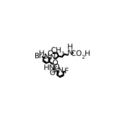 CC1(C)CC(CCCNC(=O)O)CN1c1nc(Br)ccc1C(=O)NS(=O)(=O)c1cccc(F)n1